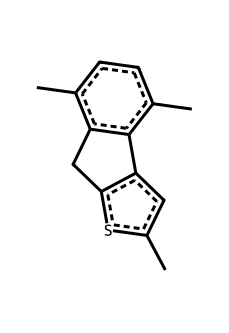 Cc1cc2c(s1)Cc1c(C)ccc(C)c1-2